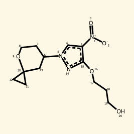 O=[N+]([O-])c1cn(C2CCOC3(CC3)C2)nc1OCCCO